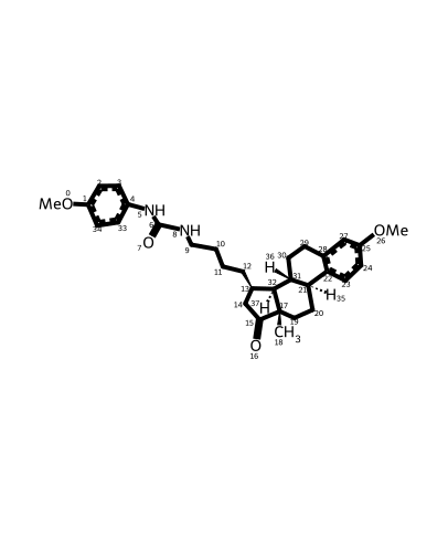 COc1ccc(NC(=O)NCCCC[C@@H]2CC(=O)[C@@]3(C)CC[C@@H]4c5ccc(OC)cc5CC[C@H]4[C@H]23)cc1